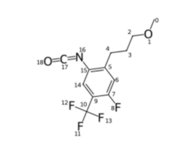 COCCCc1cc(F)c(C(F)(F)F)cc1N=C=O